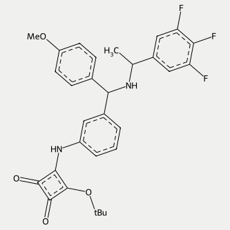 COc1ccc(C(NC(C)c2cc(F)c(F)c(F)c2)c2cccc(Nc3c(OC(C)(C)C)c(=O)c3=O)c2)cc1